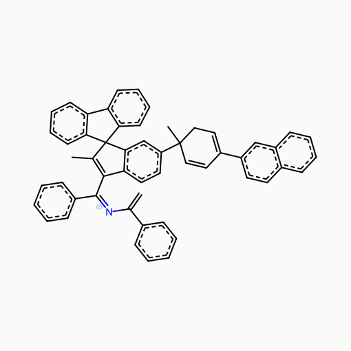 C=C(/N=C(\C1=C(C)C2(c3cc(C4(C)C=CC(c5ccc6ccccc6c5)=CC4)ccc31)c1ccccc1-c1ccccc12)c1ccccc1)c1ccccc1